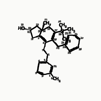 Cc1cccc(CCC2=C3C[C@H](O)C[C@]3(C)CC([Si](C)(C)C)=C2Cc2ccccc2)c1